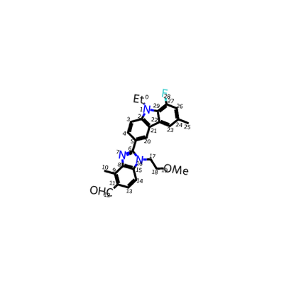 CCn1c2ccc(-c3nc4c(C)c(C=O)ccc4n3CCOC)cc2c2cc(C)cc(F)c21